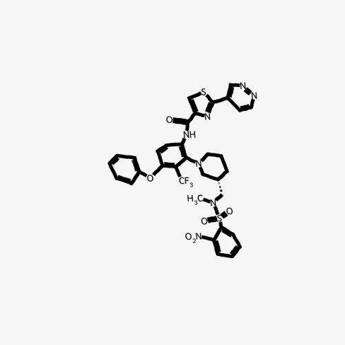 CN(C[C@H]1CCCN(c2c(NC(=O)c3csc(-c4ccnnc4)n3)ccc(Oc3ccccc3)c2C(F)(F)F)C1)S(=O)(=O)c1ccccc1[N+](=O)[O-]